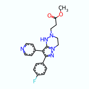 COC(=O)CCN1CCn2nc(-c3ccc(F)cc3)c(-c3ccncc3)c2N1